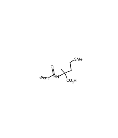 CCCCCC(=O)NC(C)(CCSC)C(=O)O